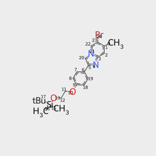 Cc1cc2nc(-c3ccc(OCCO[Si](C)(C)C(C)(C)C)cc3)cn2cc1Br